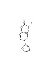 O=C1Oc2ccc(-c3ccco3)cc2CC1F